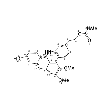 CNC(=O)OCCc1cccc(Nc2c3ccc(C)cc3nc3cc(OC)c(OC)cc23)c1